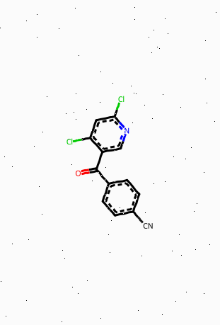 N#Cc1ccc(C(=O)c2cnc(Cl)cc2Cl)cc1